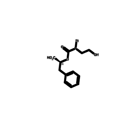 CCN(CCO)C(=O)O[C@@H](Cc1ccccc1)C(=O)O